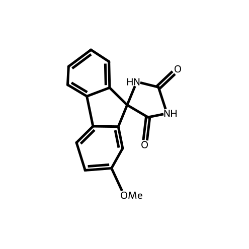 COc1ccc2c(c1)C1(NC(=O)NC1=O)c1ccccc1-2